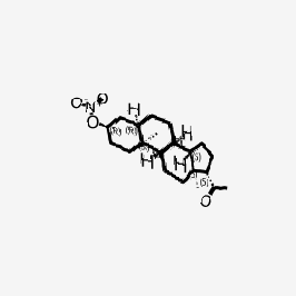 CC(=O)[C@H]1CC[C@H]2[C@@H]3CC[C@@H]4C[C@H](O[N+](=O)[O-])CC[C@]4(C)[C@H]3CC[C@]12C